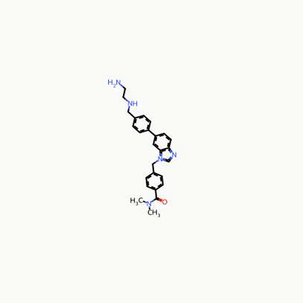 CN(C)C(=O)c1ccc(Cn2cnc3ccc(-c4ccc(CNCCN)cc4)cc32)cc1